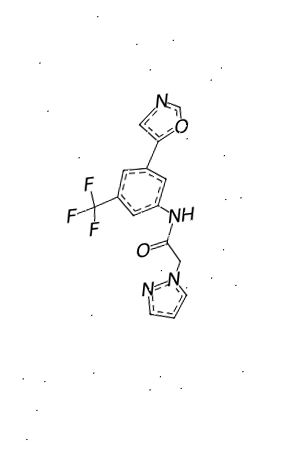 O=C(Cn1cccn1)Nc1cc(-c2cnco2)cc(C(F)(F)F)c1